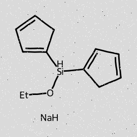 CCO[SiH](C1=CC=CC1)C1=CC=CC1.[NaH]